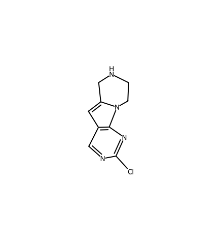 Clc1ncc2cc3n(c2n1)CCNC3